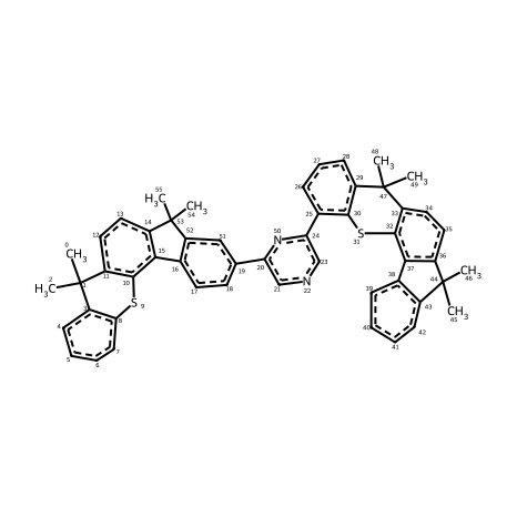 CC1(C)c2ccccc2Sc2c1ccc1c2-c2ccc(-c3cncc(-c4cccc5c4Sc4c(ccc6c4-c4ccccc4C6(C)C)C5(C)C)n3)cc2C1(C)C